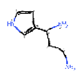 NCCC(N)c1cc[nH]c1